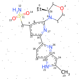 CC[C@H]1COCCN1c1cc(CS(N)(=O)=O)cc(-c2ccc3[nH]c(C)cc3n2)n1